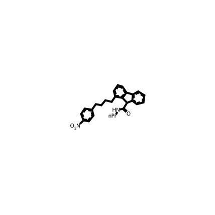 CCCNC(=O)C1c2ccccc2-c2cccc(CCCCc3ccc([N+](=O)[O-])cc3)c21